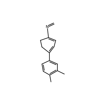 C=NC1=CC=C(c2ccc(C)c(C)c2)CC1